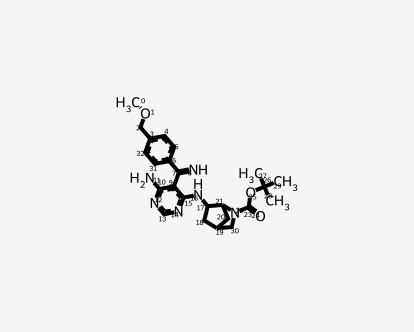 COCc1ccc(C(=N)c2c(N)ncnc2NC2CC3CC2N(C(=O)OC(C)(C)C)C3)cc1